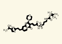 CC(C)c1csc(CCc2ccn3c(=O)c(C=CC(=O)NS(=O)(=O)CCCNC(=O)OC(C)(C)C)c(N4CCOCC4)nc3c2)n1